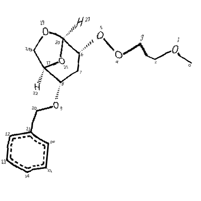 COCCOO[C@@H]1C[C@H](OCc2ccccc2)[C@H]2CO[C@@H]1O2